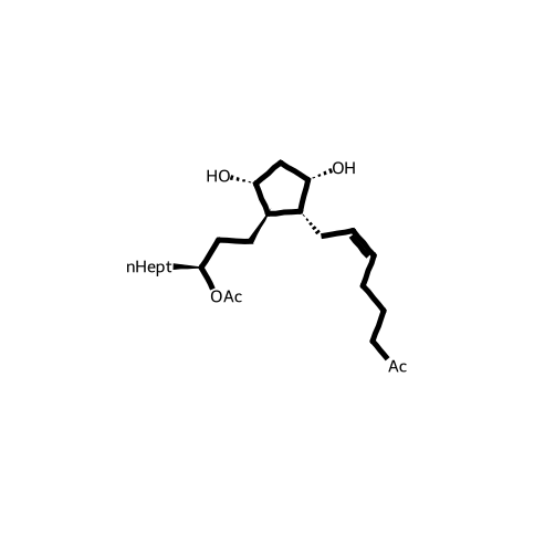 CCCCCCC[C@@H](CC[C@@H]1[C@@H](C/C=C\CCCC(C)=O)[C@@H](O)C[C@H]1O)OC(C)=O